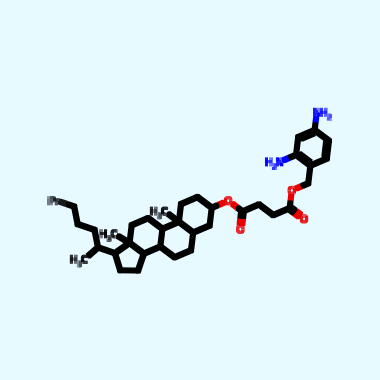 CC(C)CCCC(C)C1CCC2C3CCC4CC(OC(=O)CCC(=O)OCc5ccc(N)cc5N)CCC4(C)C3CCC12C